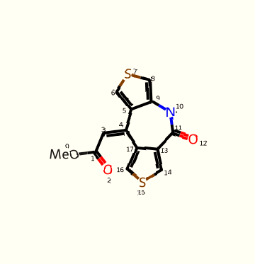 COC(=O)/C=C1/c2cscc2[N]C(=O)c2cscc21